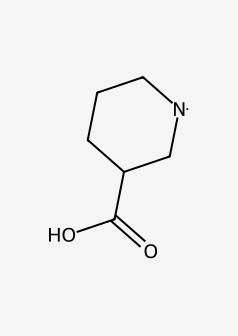 O=C(O)C1CCC[N]C1